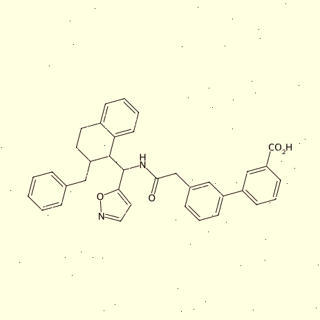 O=C(Cc1cccc(-c2cccc(C(=O)O)c2)c1)NC(c1ccno1)C1c2ccccc2CCC1Cc1ccccc1